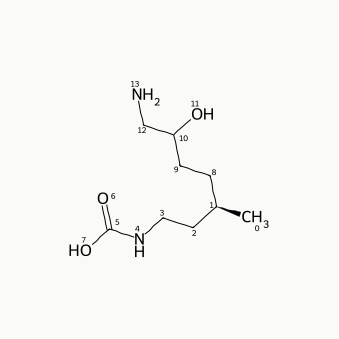 C[C@@H](CCNC(=O)O)CCC(O)CN